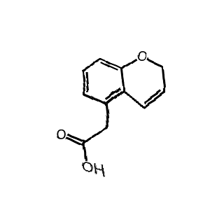 O=C(O)Cc1cccc2c1C=CCO2